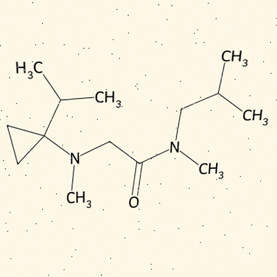 CC(C)CN(C)C(=O)CN(C)C1(C(C)C)CC1